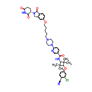 CC1(C)C(NC(=O)c2ccc(N3CCN(CCCCCOc4ccc5c(c4)CN([C@H]4CCC(=O)NC4=O)C5=O)CC3)nc2)C(C)(C)C1Oc1ccc(C#N)c(Cl)c1